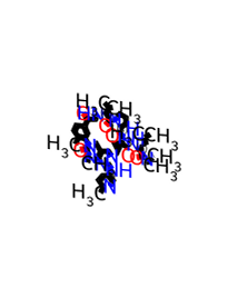 Cc1ccc(Nc2ncc3c(n2)N(C)C(=O)N(c2cc(C(=O)CN[C@H](C(=O)N4CCC[C@@H]4C(=O)NC4(C(=O)N[C@@H](CC(C)C)C(=O)N(C)C)CC4)C(C)C)ccc2C)C3)cn1